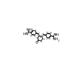 N=C(N)C1=CC/C(=C/C2CC(=O)CCN2/C=C2/C=CC(C(=N)N)=CC2)C=C1